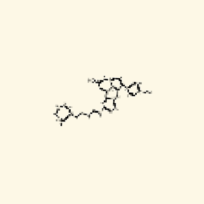 Oc1ccc(-c2ccc3cc(O)ccc3c2Cc2ccc(OCCCCC3=CNC=CC=C3)cc2)cc1